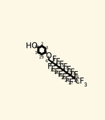 Oc1ccc(OCC(F)(F)C(F)(F)C(F)(F)C(F)(F)C(F)(F)C(F)(F)C(F)(F)C(F)(F)F)cc1